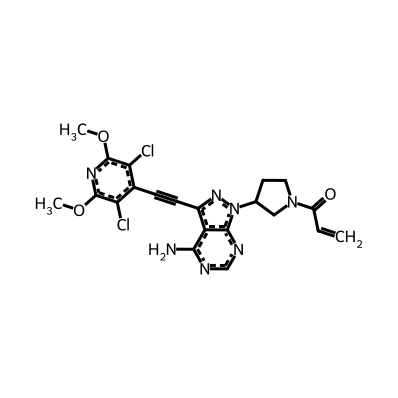 C=CC(=O)N1CCC(n2nc(C#Cc3c(Cl)c(OC)nc(OC)c3Cl)c3c(N)ncnc32)C1